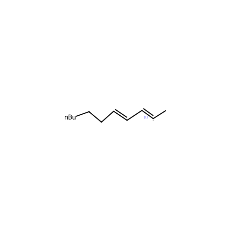 C/[C]=C/C=CCCCCCC